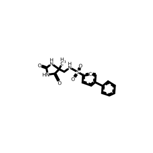 CC1(CNS(=O)(=O)c2ccc(-c3ccccc3)cc2)NC(=O)NC1=O